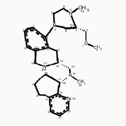 COC[C@@H]1CN(c2cccc3c2C[C@H](CN(C)[C@H]2CCCc4cccnc42)NC3)CCN1C